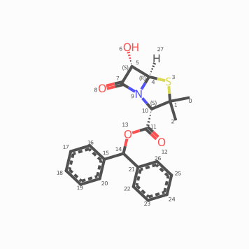 CC1(C)S[C@@H]2[C@@H](O)C(=O)N2[C@H]1C(=O)OC(c1ccccc1)c1ccccc1